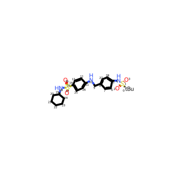 CC(C)(C)S(=O)(=O)Nc1ccc(CNc2ccc(S(=O)(=O)NC3CCCCC3)cc2)cc1